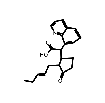 CCC=CCC1C(=O)CCC1C(C(=O)O)c1cccc2cccnc12